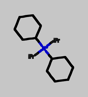 CC(C)[N+](C(C)C)(C1CCCCC1)C1CCCCC1